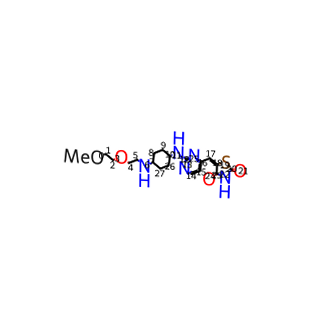 COCCOCCN[C@H]1CC[C@H](Nc2nccc(C=C3SC(=O)NC3=O)n2)CC1